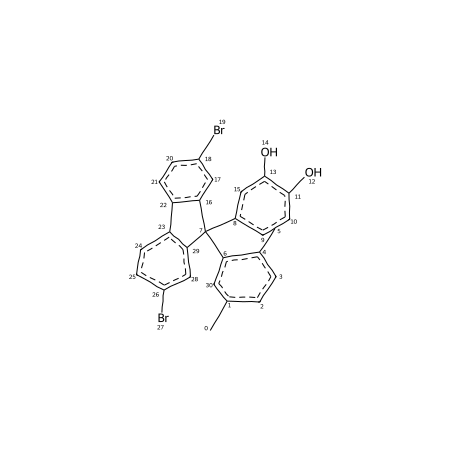 Cc1ccc(C)c(C2(c3ccc(O)c(O)c3)c3cc(Br)ccc3-c3ccc(Br)cc32)c1